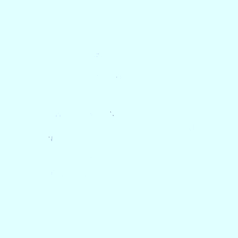 Cc1noc2c1-c1ccccc1C(c1ccc(Cl)cc1)=N[C@H]2CC(=O)C(C)(C)C